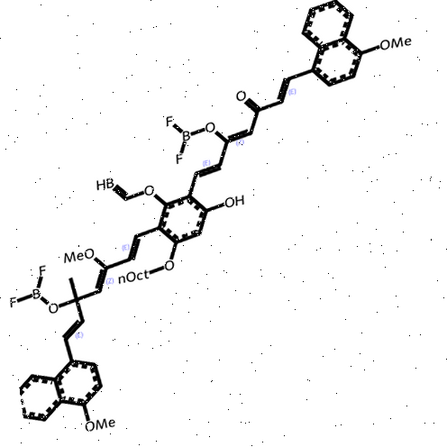 B=COc1c(/C=C/C(=C/C(=O)/C=C/c2ccc(OC)c3ccccc23)OB(F)F)c(O)cc(OCCCCCCCC)c1/C=C/C(=C/C(C)(/C=C/c1ccc(OC)c2ccccc12)OB(F)F)OC